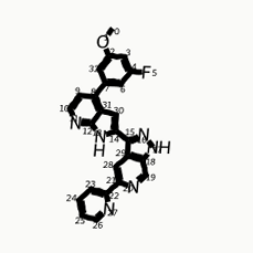 COc1cc(F)cc(-c2ccnc3[nH]c(-c4n[nH]c5cnc(-c6ccccn6)cc45)cc23)c1